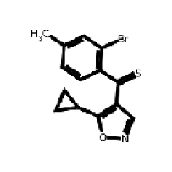 Cc1ccc(C(=S)c2cnoc2C2CC2)c(Br)c1